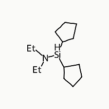 CCN(CC)[SiH](C1CCCC1)C1CCCC1